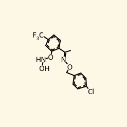 C/C(=N\OCc1ccc(Cl)cc1)c1ccc(C(F)(F)F)cc1ONO